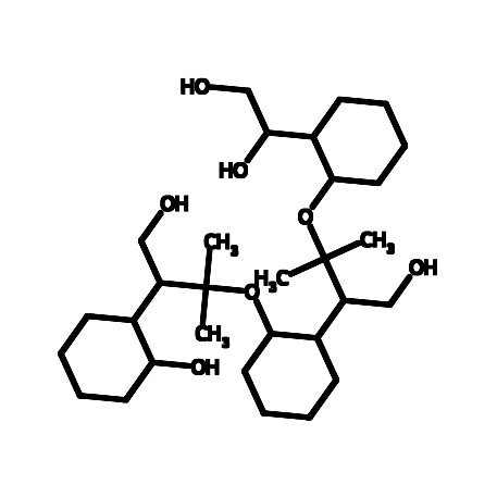 CC(C)(OC1CCCCC1C(CO)C(C)(C)OC1CCCCC1C(O)CO)C(CO)C1CCCCC1O